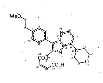 COCCc1ccc(-c2c(C)nc3c(N4CCOCC4)ccnn23)cn1.O=C(O)/C=C\C(=O)O